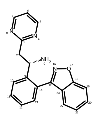 N[C@@H](Cc1ncccn1)c1ccccc1-c1noc2ccccc12